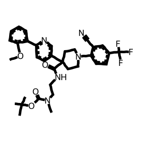 COc1ccccc1-c1ccc(C2(C(=O)NCCN(C)C(=O)OC(C)(C)C)CCN(c3ccc(C(F)(F)F)cc3C#N)CC2)cn1